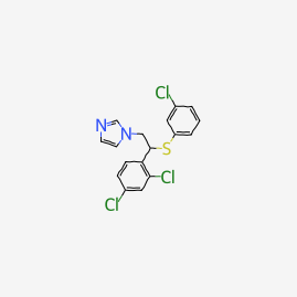 Clc1cccc(SC(Cn2ccnc2)c2ccc(Cl)cc2Cl)c1